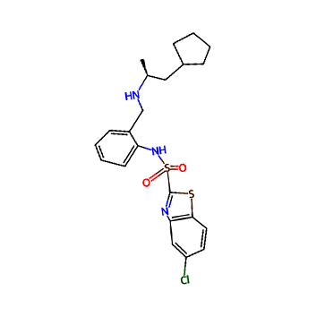 C[C@@H](CC1CCCC1)NCc1ccccc1NS(=O)(=O)c1nc2cc(Cl)ccc2s1